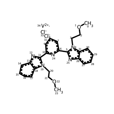 COCCn1c(-c2cccc(-c3nc4ccccc4n3CCOC)n2)nc2ccccc21.[Cl-].[Cl-].[V+2]